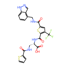 O=C(NC[C@H](NC(=O)c1sc(C(=O)NCc2cccc3[nH]ncc23)cc1C(F)(F)F)C(=O)O)c1cccs1